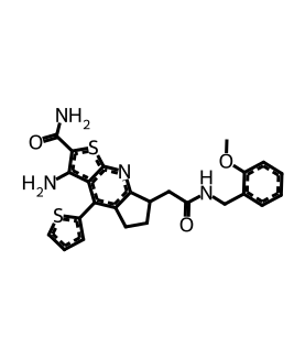 COc1ccccc1CNC(=O)CC1CCc2c1nc1sc(C(N)=O)c(N)c1c2-c1cccs1